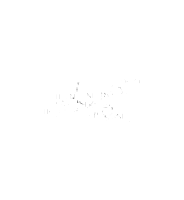 CC(C)(C)OC(=O)CON=C(C(=O)NC1C(=O)N2CC(C)(C(=O)O)CS[C@H]12)c1nc(N)sc1Cl